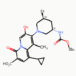 CC[C@H]1C[C@H](NC(=O)OC(C)(C)C)CN(c2c(O)cn3c(=O)c(C(=O)O)cc(C4CC4)c3c2C)C1